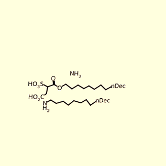 CCCCCCCCCCCCCCCCCCN.CCCCCCCCCCCCCCCCCCOC(=O)C(CC(=O)O)S(=O)(=O)O.N